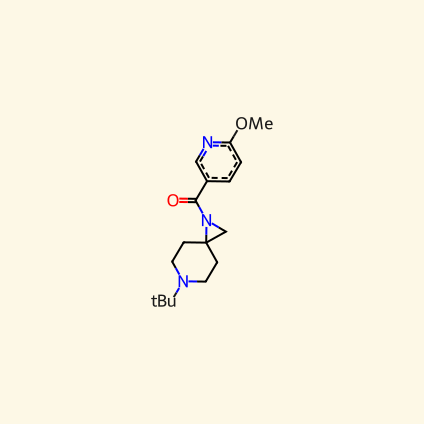 COc1ccc(C(=O)N2CC23CCN(C(C)(C)C)CC3)cn1